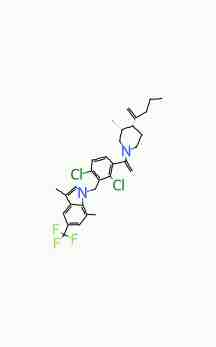 C=C(CCC)[C@@H]1CCN(C(=C)c2ccc(Cl)c(Cn3cc(C)c4cc(C(F)(F)F)cc(C)c43)c2Cl)C[C@@H]1C